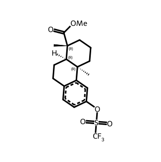 COC(=O)[C@]1(C)CCC[C@@]2(C)c3cc(OS(=O)(=O)C(F)(F)F)ccc3CC[C@@H]12